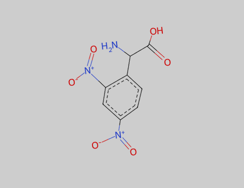 NC(C(=O)O)c1ccc([N+](=O)[O-])cc1[N+](=O)[O-]